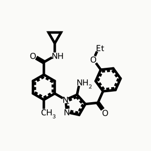 CCOc1cccc(C(=O)c2cnn(-c3cc(C(=O)NC4CC4)ccc3C)c2N)c1